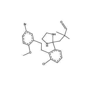 COc1ccc(Br)cc1CCc1c(Cl)cccc1C1(CC(C)(C)C=O)NCCN1